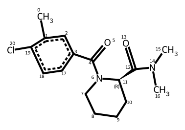 Cc1cc(C(=O)N2CCCC[C@@H]2C(=O)N(C)C)ccc1Cl